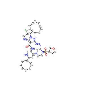 Nc1nn2c(c1C(=O)NC1CNC(C3CCCCCCCC3)CC1N1CCN(S(=O)(=O)C3CCOC3)CC1)NCC(F)C2C1CCCCCCCCC1